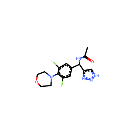 CC(=O)NC(c1cc(F)c(N2CCOCC2)c(F)c1)c1c[nH]nn1